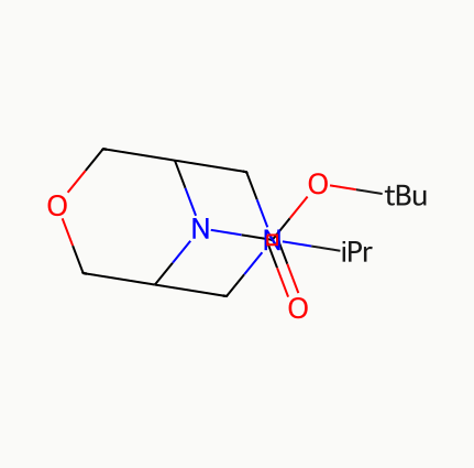 CC(C)N1CC2COCC(C1)N2C(=O)OC(C)(C)C